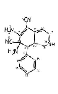 N#CC1=C(N)C(N)(C#N)C(c2ccccc2)C2CNCC=C12